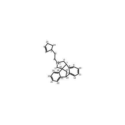 C1=CC(CCN2CC3c4ccccc4C4CC3(C2)c2ccccc24)CC1